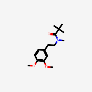 COc1ccc(CCN(C)C(=O)C(C)(C)C)cc1OC